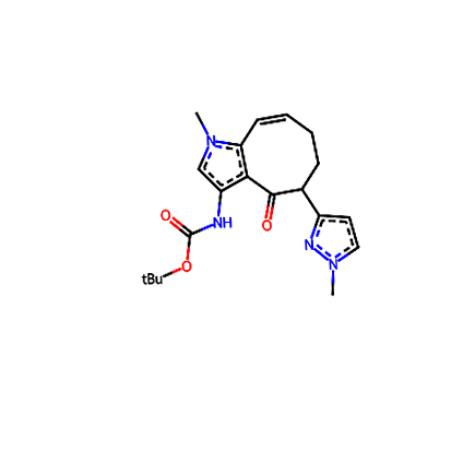 Cn1ccc(C2CC/C=C\c3c(c(NC(=O)OC(C)(C)C)cn3C)C2=O)n1